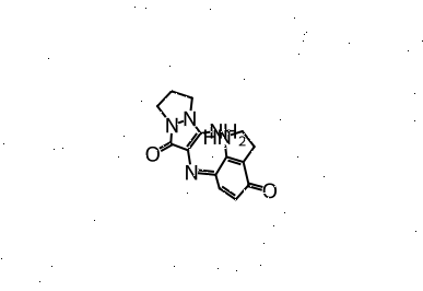 Nc1c(/N=C2/C=CC(=O)C3=C2NCC3)c(=O)n2n1CCC2